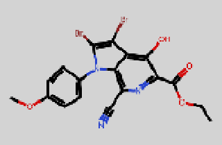 CCOC(=O)c1nc(C#N)c2c(c1O)c(Br)c(Br)n2-c1ccc(OC)cc1